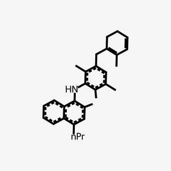 CCCc1cc(C)c(Nc2c(C)c(C)cc(CC3=C(C)C=CCC3)c2C)c2ccccc12